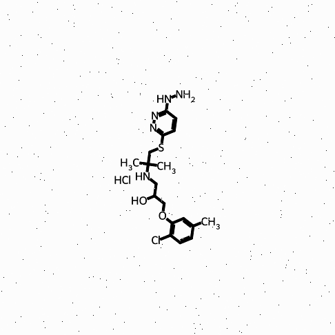 Cc1ccc(Cl)c(OCC(O)CNC(C)(C)CSc2ccc(NN)nn2)c1.Cl